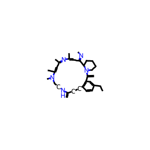 C=C1CCc2ccc(CC)cc2C(=C)N2CCCCC2C(=N/C)/C=C(C)/N=C(C)\C=C(/C)N(C)CCN1